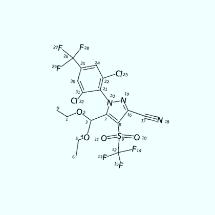 CCOC(OCC)c1c(S(=O)(=O)C(F)(F)F)c(C#N)nn1-c1c(Cl)cc(C(F)(F)F)cc1Cl